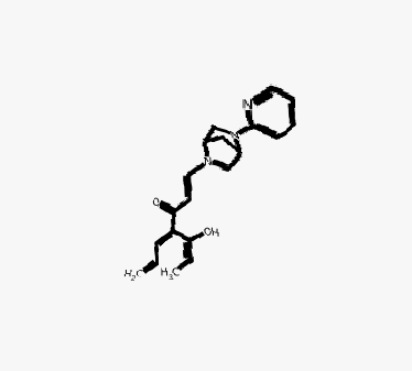 C=C/C=C(C(=O)/C=C/N1CC2CC1CN2c1ccccn1)\C(O)=C/C